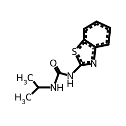 CC(C)NC(=O)Nc1nc2ccccc2s1